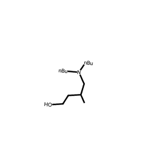 CCCCN(CCCC)CC(C)CCO